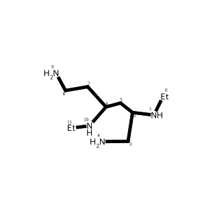 CCNC(CN)CC(CCN)NCC